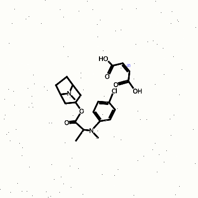 CC(C(=O)OC1CC2CCC(C1)N2C)N(C)c1ccc(Cl)cc1.O=C(O)/C=C\C(=O)O